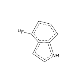 [18F]c1cccc2[nH]ccc12